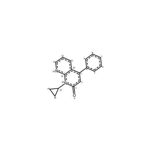 O=c1cc(-c2ccccc2)c2cccnc2n1C1CC1